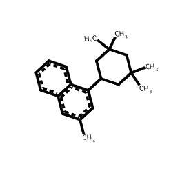 Cc1cc(C2CC(C)(C)CC(C)(C)C2)c2ccccc2c1